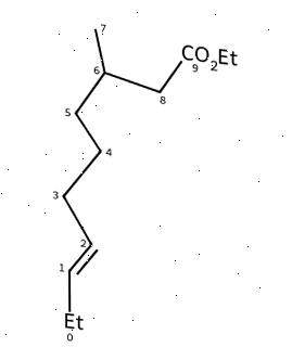 CCC=CCCCC(C)CC(=O)OCC